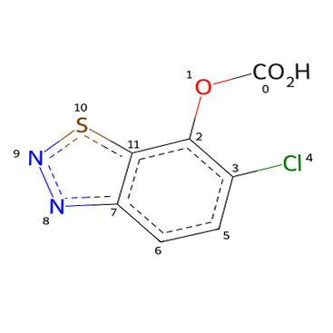 O=C(O)Oc1c(Cl)ccc2nnsc12